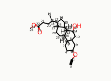 C#CO[C@@H]1CC[C@@]2(C)C(C1)C[C@H](O)[C@H]1[C@@H]3CC[C@H]([C@H](C)CCC(=O)OC)[C@@]3(C)CC[C@@H]12